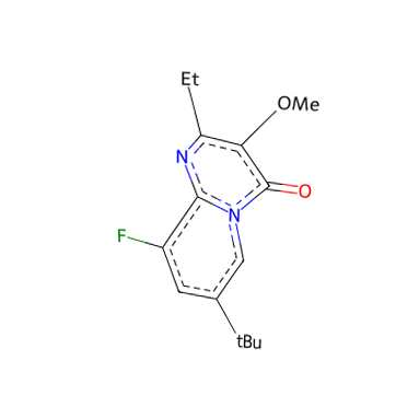 CCc1nc2c(F)cc(C(C)(C)C)cn2c(=O)c1OC